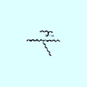 CCCCC(CC)C(=O)O.CCCCCCCCP(CCCCCCCC)CCCCCCCC